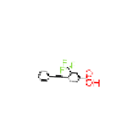 O=C(O)c1ccc(C#Cc2ccccc2)c(C(F)(F)F)c1